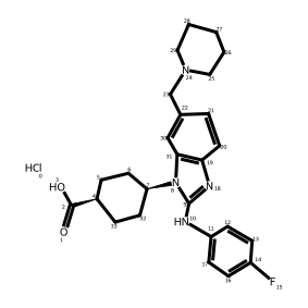 Cl.O=C(O)[C@H]1CC[C@@H](n2c(Nc3ccc(F)cc3)nc3ccc(CN4CCCCC4)cc32)CC1